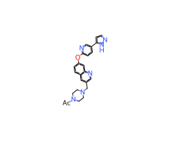 CC(=O)N1CCN(Cc2cnc3cc(Oc4ccc(-c5ccn[nH]5)cn4)ccc3c2)CC1